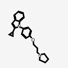 c1ccc2c(c1)cc(C1CC1)n2-c1ccc(OCCCN2CCCC2)cc1